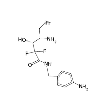 CC(C)C[C@H](N)[C@@H](O)C(F)(F)C(=O)NCc1ccc(N)cc1